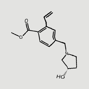 C=Cc1cc(CN2CC[C@H](O)C2)ccc1C(=O)OC